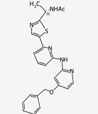 CC(=O)N[C@@H](C)c1ncc(-c2cccc(Nc3cc(OCc4ccccc4)ccn3)n2)s1